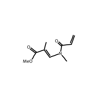 C=CC(=O)N(C)C=C(C)C(=O)OC